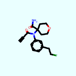 C#CC(=O)N(c1cccc(CCF)c1)C1(C(N)=O)CCOCC1